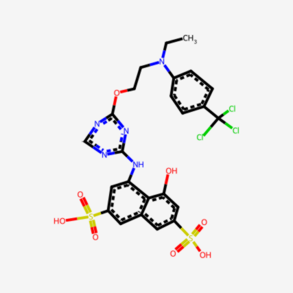 CCN(CCOc1n[c]nc(Nc2cc(S(=O)(=O)O)cc3cc(S(=O)(=O)O)cc(O)c23)n1)c1ccc(C(Cl)(Cl)Cl)cc1